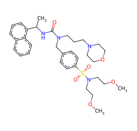 COCCN(CCOC)S(=O)(=O)c1ccc(CN(CCCN2CCOCC2)C(=O)NC(C)c2cccc3ccccc23)cc1